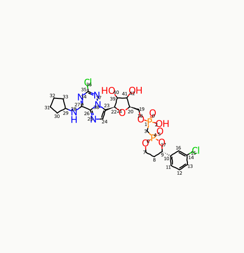 O=P(O)(CP1(=O)OCC[C@@H](c2cccc(Cl)c2)O1)OC[C@H]1O[C@@H](c2cnc3c(NC4CCCC4)nc(Cl)nn23)C(O)C1O